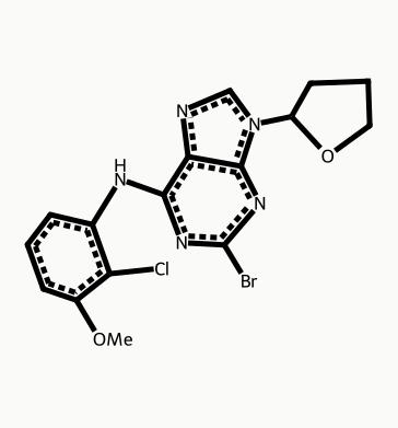 COc1cccc(Nc2nc(Br)nc3c2ncn3C2CCCO2)c1Cl